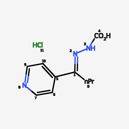 CCCC(=NNC(=O)O)c1ccncc1.Cl